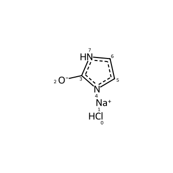 Cl.[Na+].[O-]c1ncc[nH]1